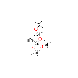 [CH2]CC[Si](O[Si](C)(C)C)(O[Si](C)(C)C)O[Si](C)(C)O[Si](C)(C)C